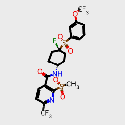 CS(=O)(=O)c1nc(C(F)(F)F)ccc1C(=O)N[C@H]1CC[C@@](F)(S(=O)(=O)c2cccc(OC(F)(F)F)c2)CC1